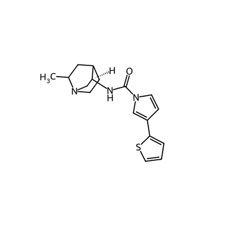 CC1CC2CCN1C[C@@H]2NC(=O)n1ccc(-c2cccs2)c1